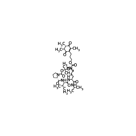 CC1=C(CCCOC(=O)NCCC[C@H](NC(=O)[C@@H](NC(=O)[C@@H]2CCCN2C(=O)OC(C)(C)C)C(C)C)C(=O)NC(C)C)C(=O)[C@@H](C)[C@H](C)C1=O